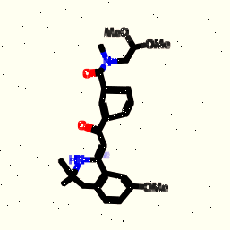 COc1ccc2c(c1)/C(=C/C(=O)c1cccc(C(=O)N(C)CC(OC)OC)c1)NC(C)(C)C2